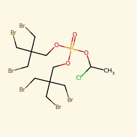 CC(Cl)OP(=O)(OCC(CBr)(CBr)CBr)OCC(CBr)(CBr)CBr